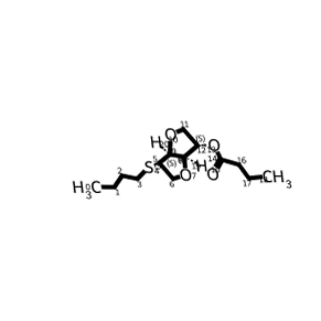 CCCCS[C@H]1CO[C@H]2[C@@H]1OC[C@@H]2OC(=O)CCC